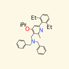 CCc1cccc(CC)c1-c1cc(OC(C)C)c(CN(Cc2ccccc2)Cc2ccccc2)c(C)n1